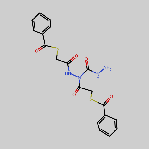 NNC(=O)N(NC(=O)CSC(=O)c1ccccc1)C(=O)CSC(=O)c1ccccc1